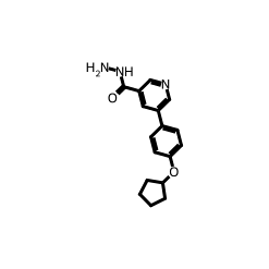 NNC(=O)c1cncc(-c2ccc(OC3CCCC3)cc2)c1